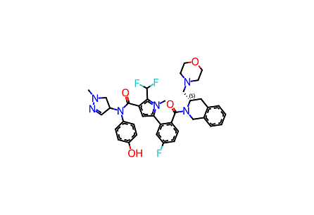 CN1CC(N(C(=O)c2cc(-c3cc(F)ccc3C(=O)N3Cc4ccccc4C[C@H]3CN3CCOCC3)n(C)c2C(F)F)c2ccc(O)cc2)C=N1